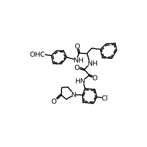 O=Cc1ccc(NC(=O)C(Cc2ccccc2)NC(=O)C(=O)Nc2cc(Cl)ccc2N2CCC(=O)C2)cc1